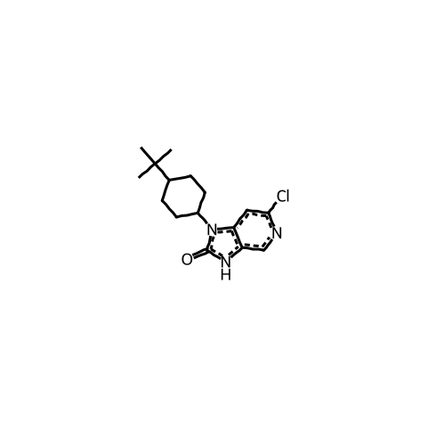 CC(C)(C)C1CCC(n2c(=O)[nH]c3cnc(Cl)cc32)CC1